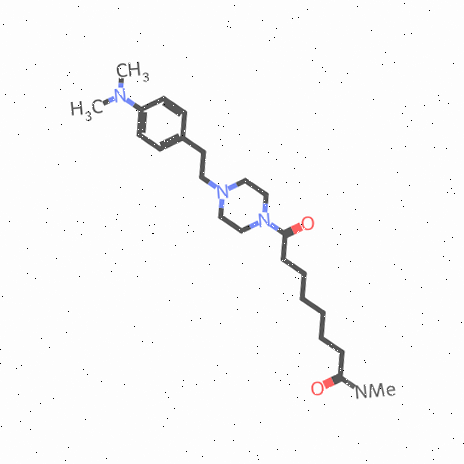 CNC(=O)CCCCCCC(=O)N1CCN(CCc2ccc(N(C)C)cc2)CC1